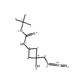 CC(C)(C)OC(=O)NC1CC(O)(CN=[N+]=[N-])C1